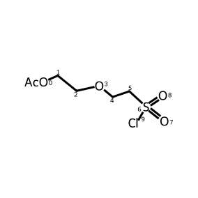 CC(=O)OCCOCCS(=O)(=O)Cl